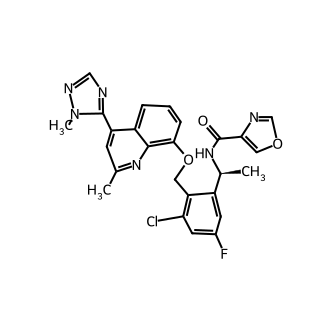 Cc1cc(-c2ncnn2C)c2cccc(OCc3c(Cl)cc(F)cc3[C@H](C)NC(=O)c3cocn3)c2n1